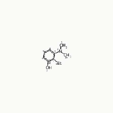 CCc1c(O)cccc1N(C)C